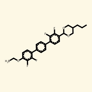 BCOc1ccc(-c2ccc(-c3ccc(C4OCC(CCC)CO4)c(F)c3F)cc2)c(F)c1F